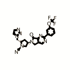 N#CN1C[C@H](N2Cc3cnc(-c4cccc(OC(F)(F)F)c4)nc3C2=O)C[C@H]1Cn1ccnn1